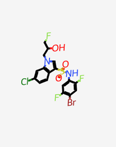 O=S(=O)(Nc1cc(F)c(Br)cc1F)c1cn(CC(O)CF)c2cc(Cl)ccc12